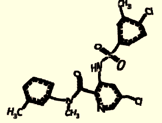 Cc1cccc(N(C)C(=O)c2ncc(Cl)cc2NS(=O)(=O)c2ccc(Cl)c(C)c2)c1